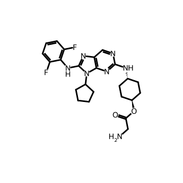 NCC(=O)O[C@H]1CC[C@H](Nc2ncc3nc(Nc4c(F)cccc4F)n(C4CCCC4)c3n2)CC1